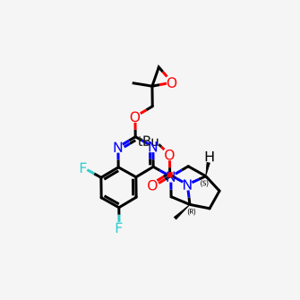 CC(C)(C)OC(=O)N1[C@H]2CC[C@]1(C)CN(c1nc(OCC3(C)CO3)nc3c(F)cc(F)cc13)C2